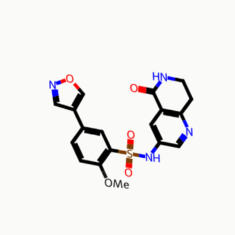 COc1ccc(-c2cnoc2)cc1S(=O)(=O)Nc1cnc2c(c1)C(=O)NCC2